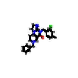 Cc1ccc(CN2C(=O)C3=C(CCN(Cc4ccccc4)C3)N3CCN=C23)c(Cl)c1